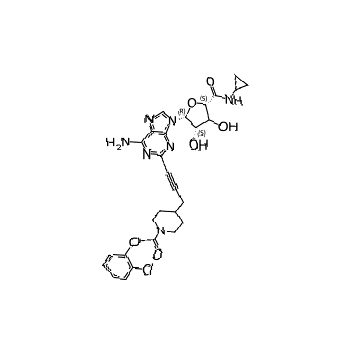 Nc1nc(C#CCC2CCN(C(=O)Oc3ccccc3Cl)CC2)nc2c1ncn2[C@@H]1O[C@H](C(=O)NC2CC2)C(O)[C@@H]1O